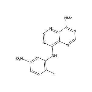 CNc1ncnc2c(Nc3cc([N+](=O)[O-])ccc3C)ncnc12